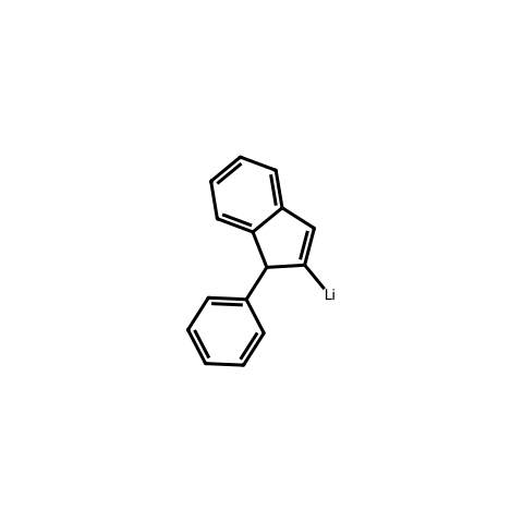 [Li][C]1=Cc2ccccc2C1c1ccccc1